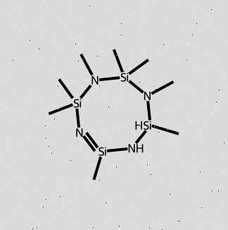 CN1[SiH](C)N/[Si](C)=N\[Si](C)(C)N(C)[Si]1(C)C